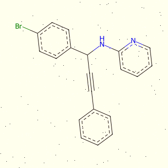 Brc1ccc(C(C#Cc2ccccc2)Nc2ccccn2)cc1